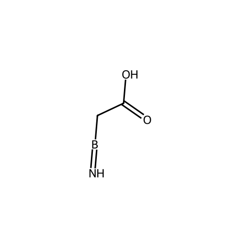 N=BCC(=O)O